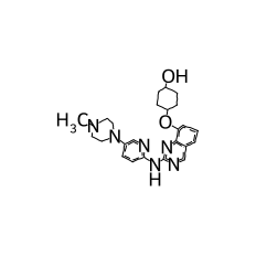 CN1CCN(c2ccc(Nc3ncc4cccc(OC5CCC(O)CC5)c4n3)nc2)CC1